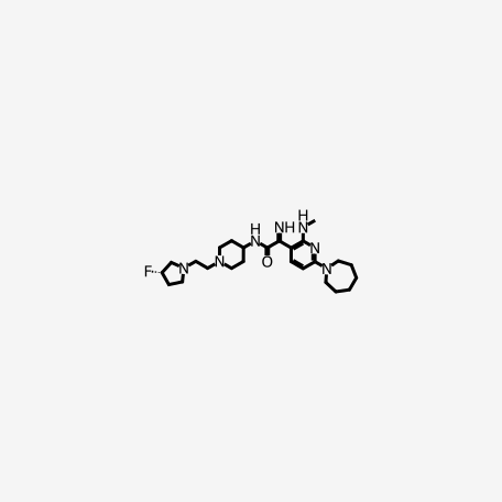 CNc1nc(N2CCCCCC2)ccc1C(=N)C(=O)NC1CCN(CCN2CC[C@H](F)C2)CC1